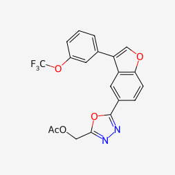 CC(=O)OCc1nnc(-c2ccc3occ(-c4cccc(OC(F)(F)F)c4)c3c2)o1